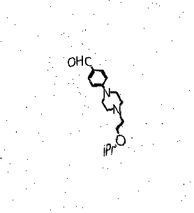 CC(C)OCCN1CCN(c2ccc(C=O)cc2)CC1